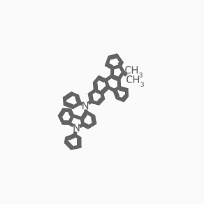 CC1(C)c2ccccc2-c2c1c1ccccc1c1c2ccc2cc(N(c3ccccc3)c3cccc4c3c3ccccc3n4-c3ccccc3)ccc21